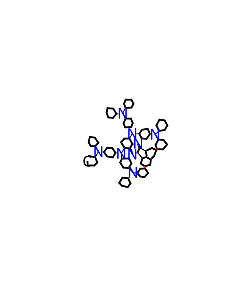 c1ccc(N(c2ccccc2)c2ccc(N(c3ccc(N(c4ccccc4)c4ccccc4)cc3)c3ccc(N(c4ccc(N(c5ccccc5)c5ccccc5)cc4)c4ccc(N(c5ccccc5)c5ccccc5)cc4)c4nc5c(nc34)-c3cccc4cccc-5c34)cc2)cc1